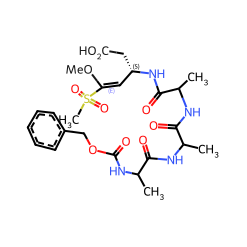 CO/C(=C\[C@H](CC(=O)O)NC(=O)C(C)NC(=O)C(C)NC(=O)C(C)NC(=O)OCc1ccccc1)S(C)(=O)=O